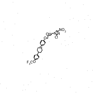 O=[N+]([O-])c1cn(CC[C@@H](O)COc2ccc(N3CCC(c4ccc(OC(F)(F)F)cc4)CC3)cc2)c(Cl)n1